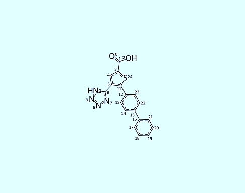 O=C(O)c1cc(-c2nnn[nH]2)c(-c2ccc(-c3ccccc3)cc2)s1